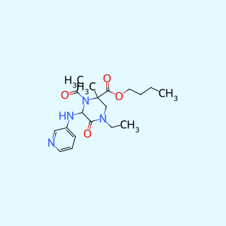 CCCCOC(=O)C1(C)CN(CC)C(=O)C(Nc2cccnc2)N1C(C)=O